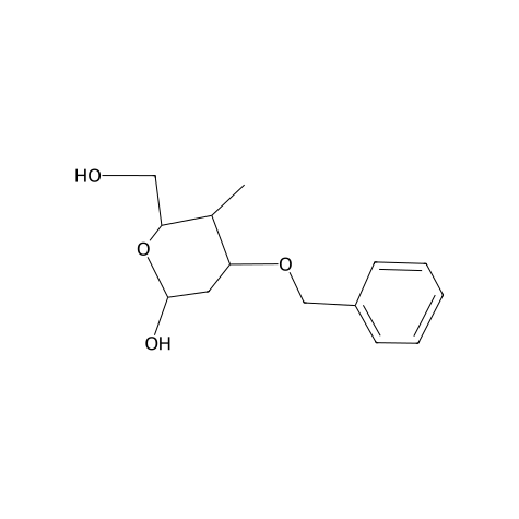 CC1C(OCc2ccccc2)CC(O)OC1CO